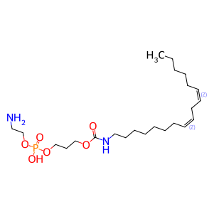 CCCCC/C=C\C/C=C\CCCCCCCNC(=O)OCCCOP(=O)(O)OCCN